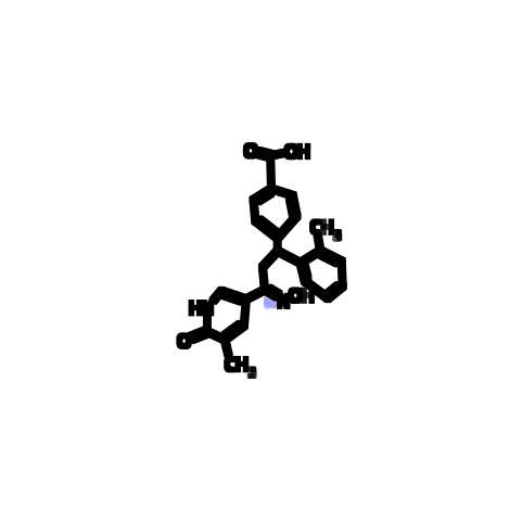 Cc1ccccc1C(C/C(=N\O)c1c[nH]c(=O)c(C)c1)c1ccc(C(=O)O)cc1